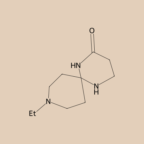 CCN1CCC2(CC1)NCCC(=O)N2